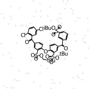 CC(C)COS(=O)(=O)c1cccc(C(=O)c2ccc(Oc3ccc(C(=O)c4cc(Cl)ccc4Cl)cc3S(=O)(=O)OCC(C)(C)C)c(S(=O)(=O)OC(C)(C)C)c2)c1